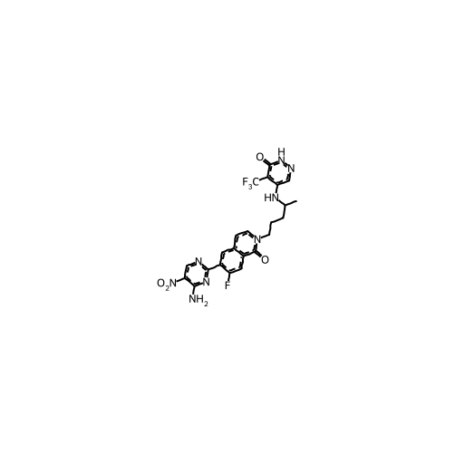 CC(CCCn1ccc2cc(-c3ncc([N+](=O)[O-])c(N)n3)c(F)cc2c1=O)Nc1cn[nH]c(=O)c1C(F)(F)F